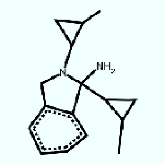 CC1CC1N1Cc2ccccc2C1(N)C1CC1C